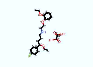 CCOc1ccccc1OCCNCCCC(OCC)c1ccc(F)cc1.O=C(O)C(=O)O